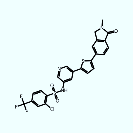 CN1Cc2cc(-c3ccc(-c4cncc(NS(=O)(=O)c5ccc(C(F)(F)F)cc5Cl)c4)s3)ccc2C1=O